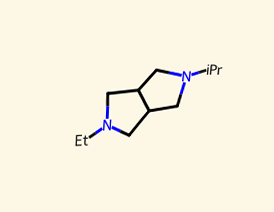 CCN1CC2CN(C(C)C)CC2C1